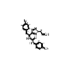 N#Cc1ccc(NC(=O)NC(Cc2ccc(Cl)cc2)c2nnn(CCO)n2)cc1